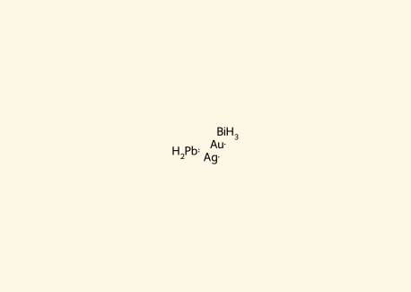 [Ag].[Au].[BiH3].[PbH2]